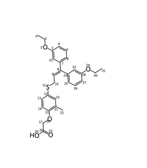 CCOc1cccc(C(=CCSc2ccc(OCC(=O)O)c(C)c2)c2cccc(OCC)c2)c1